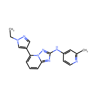 CCn1cc(-c2cccc3nc(Nc4ccnc(C)c4)nn23)cn1